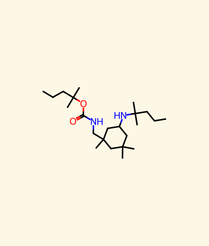 CCCC(C)(C)NC1CC(C)(C)CC(C)(CNC(=O)OC(C)(C)CCC)C1